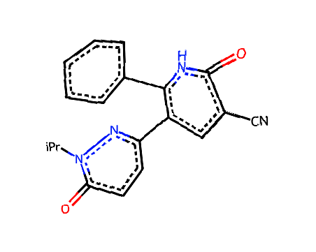 CC(C)n1nc(-c2cc(C#N)c(=O)[nH]c2-c2ccccc2)ccc1=O